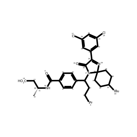 CC(C)CCC(c1ccc(C(=O)N[C@H](C)CC(=O)O)cc1)N1C(=O)C(c2cc(Cl)cc(Cl)c2)=NC12CCC(C(C)(C)C)CC2